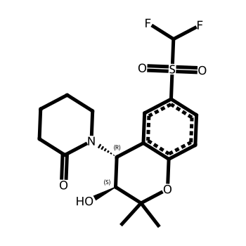 CC1(C)Oc2ccc(S(=O)(=O)C(F)F)cc2[C@@H](N2CCCCC2=O)[C@@H]1O